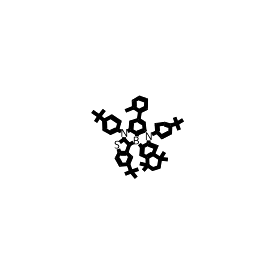 Cc1ccccc1-c1cc2c3c(c1)N(c1ccc(C(C)(C)C)cc1)C1Sc4ccc(C(C)(C)C)cc4C1B3c1cc3c(cc1N2c1ccc(C(C)(C)C)cc1)C(C)(C)CCC3(C)C